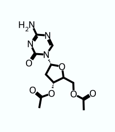 CC(=O)OCC1O[C@@H](n2cnc(N)nc2=O)C[C@H]1OC(C)=O